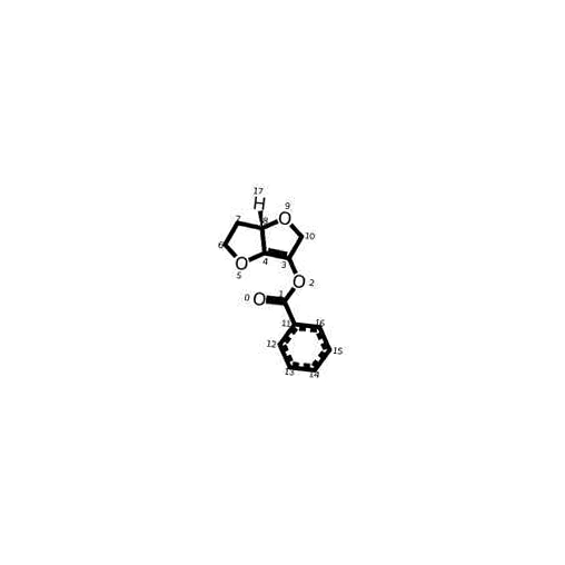 O=C(OC1=C2OCC[C@@H]2OC1)c1ccccc1